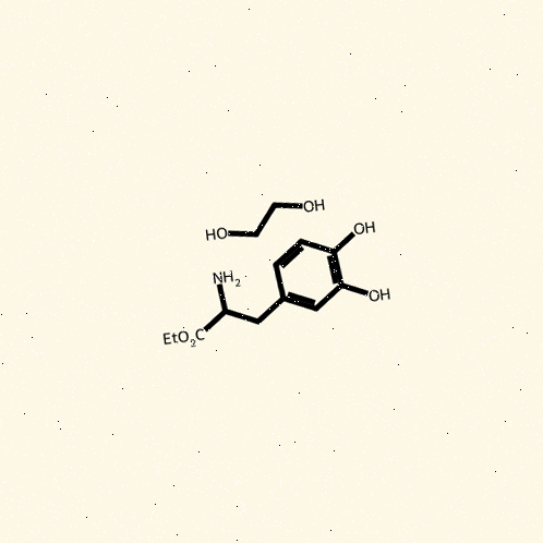 CCOC(=O)C(N)Cc1ccc(O)c(O)c1.OCCO